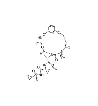 C=C[C@@H]1C[C@]1(NC(=O)[C@@H]1C[C@@H]2CN1C(=O)[C@H](C(C)C)NC(=O)OCCCc1cccc(c1)CNC(=O)O2)C(=O)NS(=O)(=O)C1CC1